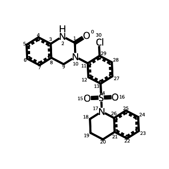 O=C1Nc2ccccc2CN1c1cc(S(=O)(=O)N2CCCc3ccccc32)ccc1Cl